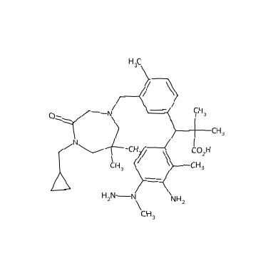 Cc1ccc(C(c2ccc(N(C)N)c(N)c2C)C(C)(C)C(=O)O)cc1CN1CC(=O)N(CC2CC2)CC(C)(C)C1